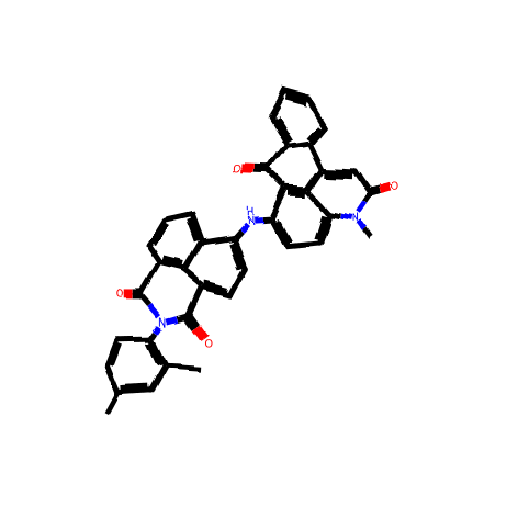 Cc1ccc(N2C(=O)c3cccc4c(Nc5ccc6c7c(cc(=O)n6C)-c6ccccc6C(=O)c57)ccc(c34)C2=O)c(C)c1